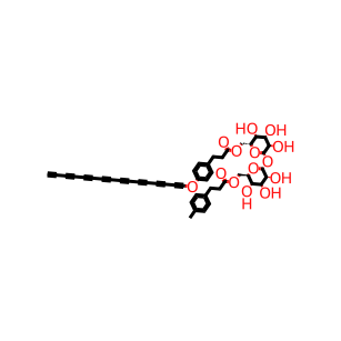 C#CC#CC#CC#CC#CC#CC#CC#COc1ccc(CCC(=O)OC[C@H]2O[C@H](O[C@H]3O[C@H](COC(=O)CCc4ccc(C)cc4)[C@@H](O)[C@H](O)[C@H]3O)[C@H](O)[C@@H](O)[C@@H]2O)cc1